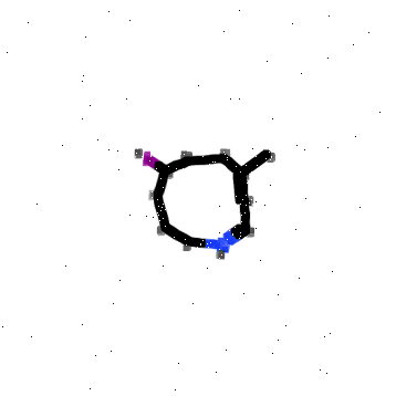 C/C1=C/C=N\CCCC(I)CC1